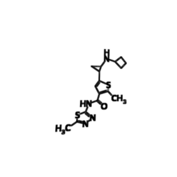 Cc1nnc(NC(=O)c2cc(C3CC3NC3CCC3)sc2C)s1